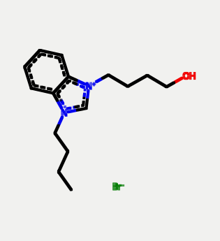 CCCCn1c[n+](CCCCO)c2ccccc21.[Br-]